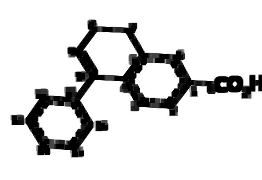 O=C(O)c1ccc2c(c1)CCC=C2c1ccccc1